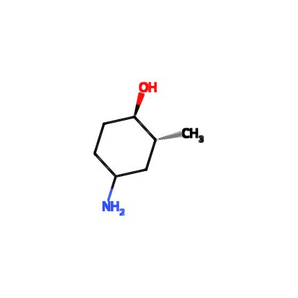 C[C@@H]1CC(N)CC[C@H]1O